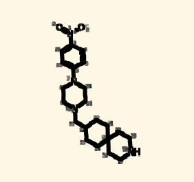 O=[N+]([O-])c1ccc(N2CCN(CC3CCC4(CCNCC4)CC3)CC2)cc1